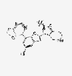 Cn1nc2c(c1C1Cc3cc(Cl)cc(-c4ncnc5ccoc45)c3O1)CNCC2